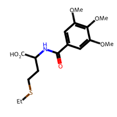 CCSCCC(NC(=O)c1cc(OC)c(OC)c(OC)c1)C(=O)O